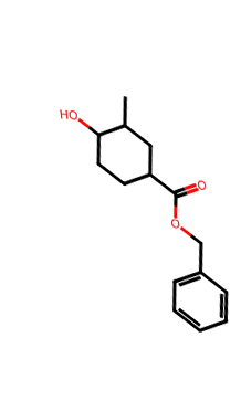 CC1CC(C(=O)OCc2ccccc2)CCC1O